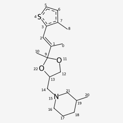 C/C(=C\c1sccc1C)C1(C)OCC(CN2CCCC(C)C2)O1